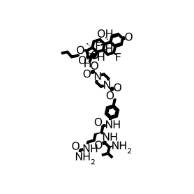 CCCC1O[C@@H]2C[C@H]3[C@@H]4C[C@H](F)C5=CC(=O)C=C[C@]5(C)[C@@]4(F)[C@@H](O)C[C@]3(C)[C@]2(C(=O)COC(=O)N2CCN(C(=O)OCc3ccc(NC(=O)[C@H](CCCNC(N)=O)NC(=O)[C@@H](N)C(C)C)cc3)CC2)O1